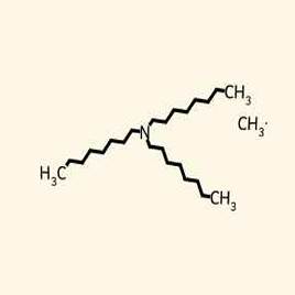 CCCCCCCCN(CCCCCCCC)CCCCCCCC.[CH3]